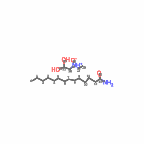 CCCCCCCCCCCCCC(N)=O.CC[NH+]([O-])CC(O)O